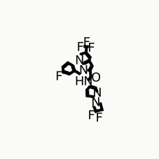 O=C(Nc1ccc(N2CCC(F)(F)C2)nc1)c1cc2cc(C(F)(F)F)cnc2n1Cc1cccc(F)c1